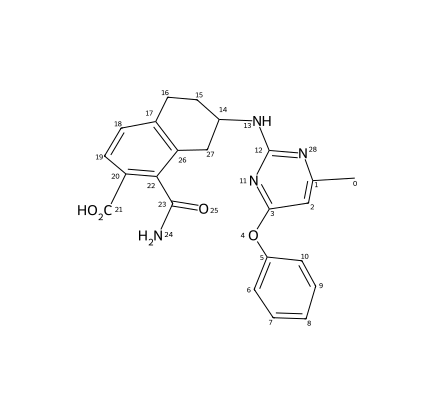 Cc1cc(Oc2ccccc2)nc(NC2CCc3ccc(C(=O)O)c(C(N)=O)c3C2)n1